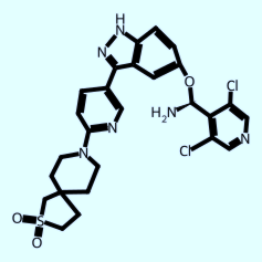 N[C@@H](Oc1ccc2[nH]nc(-c3ccc(N4CCC5(CC4)CCS(=O)(=O)C5)nc3)c2c1)c1c(Cl)cncc1Cl